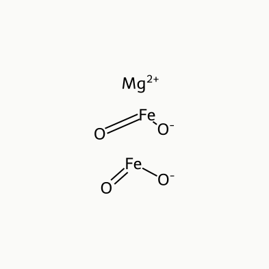 [Mg+2].[O]=[Fe][O-].[O]=[Fe][O-]